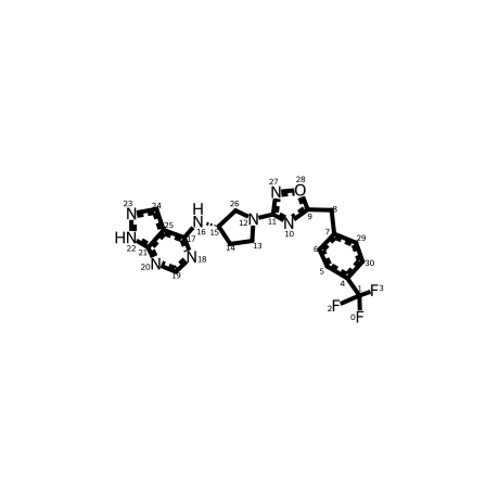 FC(F)(F)c1ccc(Cc2nc(N3CC[C@H](Nc4ncnc5[nH]ncc45)C3)no2)cc1